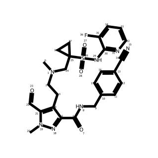 CN(CCc1c(C(=O)NCc2ccc(C#N)cc2)nn(C)c1C=O)CC1(S(=O)(=O)Nc2ncccc2F)CC1